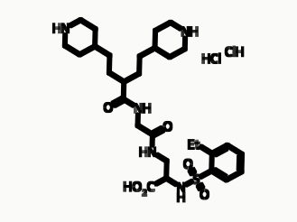 CCc1ccccc1S(=O)(=O)NC(CNC(=O)CNC(=O)C(CCC1CCNCC1)CCC1CCNCC1)C(=O)O.Cl.Cl